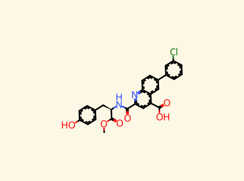 COC(=O)[C@@H](Cc1ccc(O)cc1)NC(=O)c1cc(C(=O)O)c2cc(-c3cccc(Cl)c3)ccc2n1